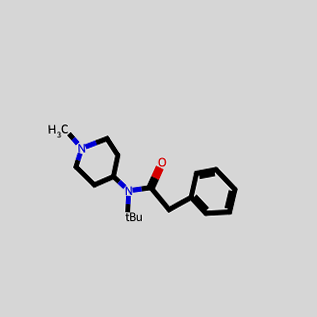 CN1CCC(N(C(=O)Cc2ccccc2)C(C)(C)C)CC1